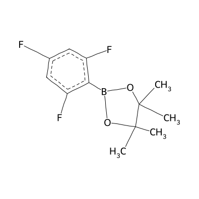 CC1(C)OB(c2c(F)cc(F)cc2F)OC1(C)C